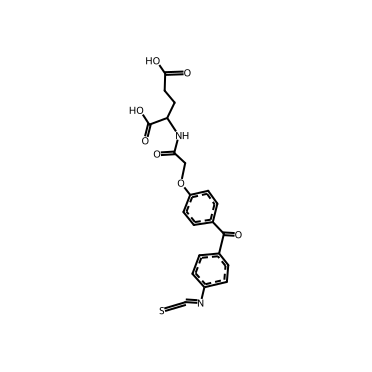 O=C(O)CCC(NC(=O)COc1ccc(C(=O)c2ccc(N=C=S)cc2)cc1)C(=O)O